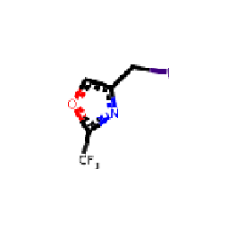 FC(F)(F)c1nc(CI)co1